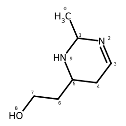 CC1N=CCC(CCO)N1